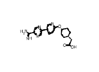 N=C(N)c1cnc(-c2ccc(O[C@H]3CC[C@H](CC(=O)O)CC3)nc2)cn1